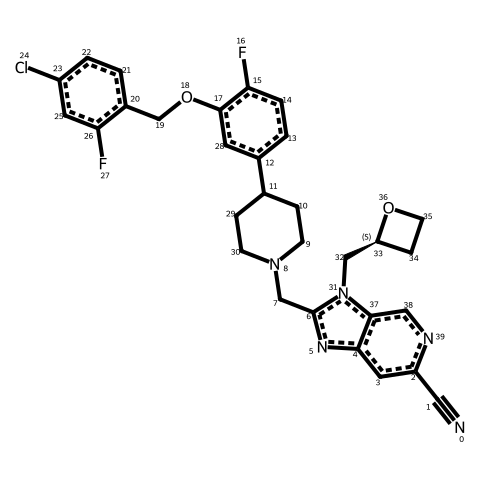 N#Cc1cc2nc(CN3CCC(c4ccc(F)c(OCc5ccc(Cl)cc5F)c4)CC3)n(C[C@@H]3CCO3)c2cn1